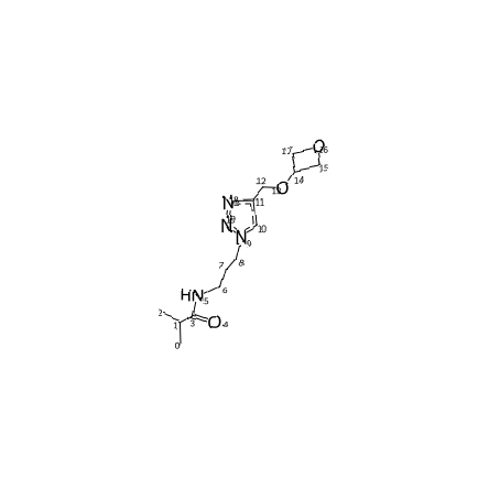 CC(C)C(=O)NCCCn1cc(COC2COC2)nn1